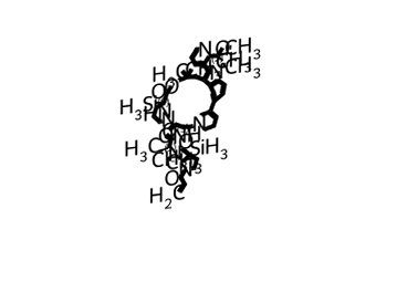 C=CC(=O)N1CCC([SiH3])(C(=O)N(C)[C@H](C(=O)N[C@H]2CN3CCC=C(C3)c3ccc4c(c3)c(c(-c3cccnc3[C@H](C)OC)n4CC)CC(C)(C)COC(=O)[C@@]3([SiH3])CCCN(N3)C2=O)C(C)C)C1